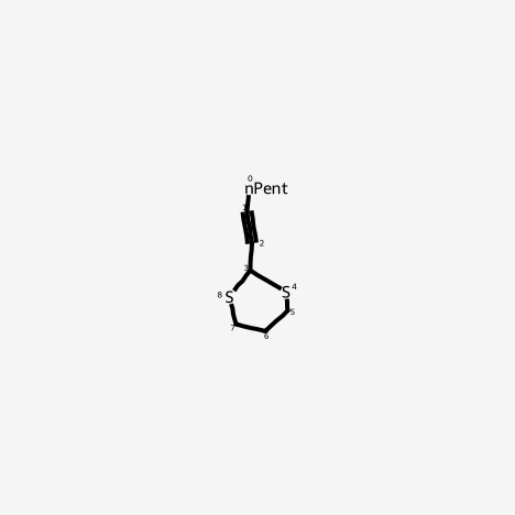 CCCCCC#CC1SCCCS1